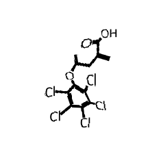 C=C(CC(C)Oc1c(Cl)c(Cl)c(Cl)c(Cl)c1Cl)C(=O)O